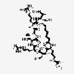 CCCCCCCCCCCCCCCC(=O)N[C@@H](CCCNC(=N)N)C(=O)N[C@@H](CC(C)C)C(=O)N[C@@H](CCCNC(=N)N)C(=O)N[C@@H](CO)C(=O)N[C@H](C(=O)N[C@@H](CCCNC(=N)N)C(=O)N[C@@H](CO)C(=O)NC)[C@@H](C)CC